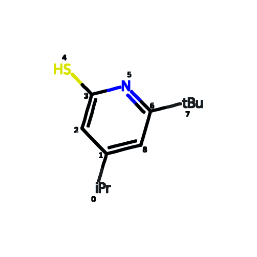 CC(C)c1cc(S)nc(C(C)(C)C)c1